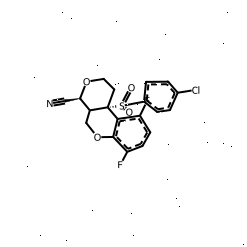 N#C[C@H]1OCC[C@@]2(S(=O)(=O)c3ccc(Cl)cc3)c3c(F)ccc(F)c3OCC12